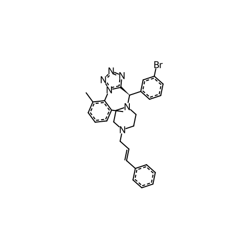 Cc1cccc(C)c1-n1nnnc1[C@@H](c1cccc(Br)c1)N1CCN(C/C=C/c2ccccc2)CC1